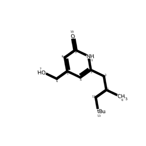 CC(Cc1cc(CO)cc(=O)[nH]1)CC(C)(C)C